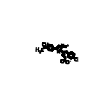 CC(C)c1ccc(-c2csc(N(CCC(=O)[O-])Cc3ccc(Cl)cc3)n2)cc1.[Na+]